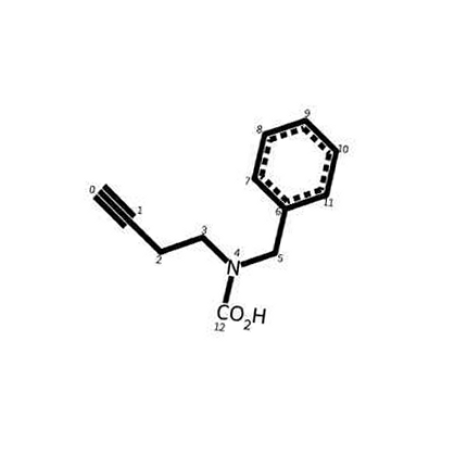 C#CCCN(Cc1ccccc1)C(=O)O